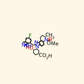 COC(=O)N1c2ccc3c(nc([C@@H](O)c4cc(F)cc5cn[nH]c45)n3[C@@H]3CCC[C@@H](C(=O)O)C3)c2CC[C@@H]1C